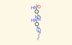 CCCCCN1CCN(c2ccc(Nc3nccc(-c4ccc(NC(C)=O)cc4)n3)cc2)CC1